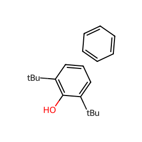 CC(C)(C)c1cccc(C(C)(C)C)c1O.c1ccccc1